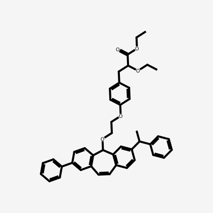 CCOC(=O)C(Cc1ccc(OCCOC2c3ccc(-c4ccccc4)cc3C=Cc3ccc(C(C)c4ccccc4)cc32)cc1)OCC